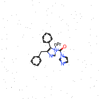 CCC[N+]1(C(=O)n2ccnc2)C=NC(Cc2ccccc2)=C1c1ccccc1